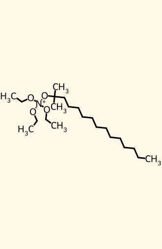 CCCCCCCCCCCCCC(C)(C)O[N+](OCC)(OCC)OCC